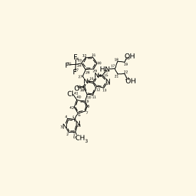 Cc1cncc(-c2ccc(-c3cc4cnc(NC(CCO)CCO)nc4n(Cc4ccccc4C(F)(F)F)c3=O)c(Cl)c2)n1